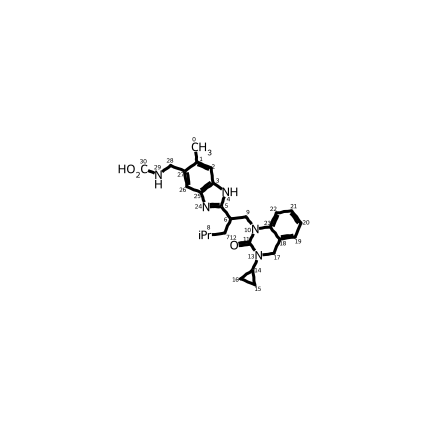 Cc1cc2[nH]c(C(CC(C)C)CN3C(=O)N(C4CC4)Cc4ccccc43)nc2cc1CNC(=O)O